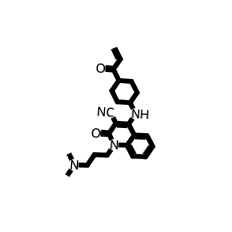 C=CC(=O)C1CCC(Nc2c(C#N)c(=O)n(CCCN(C)C)c3ccccc23)CC1